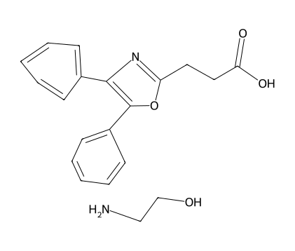 NCCO.O=C(O)CCc1nc(-c2ccccc2)c(-c2ccccc2)o1